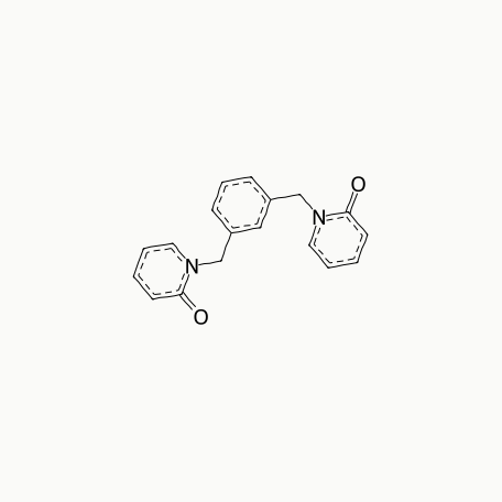 O=c1ccccn1Cc1cccc(Cn2ccccc2=O)c1